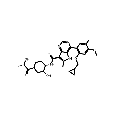 COc1cc(OCC2CC2)c(-c2ncnc3c(C(=O)N[C@H]4CCN(C(=O)[C@H](C)O)C[C@@H]4O)c(C)[nH]c23)cc1F